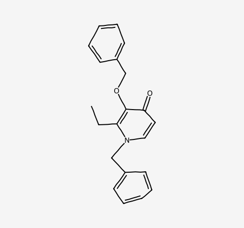 CCc1c(OCc2ccccc2)c(=O)ccn1Cc1ccccc1